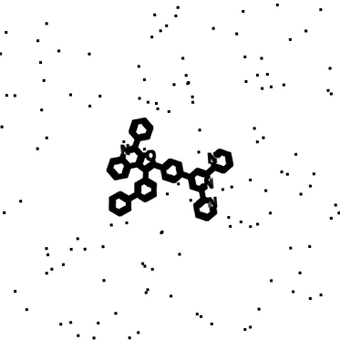 c1ccc(-c2cccc(-c3c(-c4ccc(-c5cc(-c6ccccn6)nc(-c6ccccn6)c5)cc4)oc4c(-c5ccccc5)nc5ccccc5c34)c2)cc1